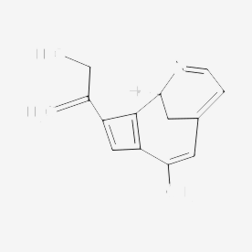 C=C(CC)C1=CC2=C1[C@@H]1CC(=CC=N1)C=C2C